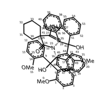 COc1ccccc1C(O)(c1ccccc1OC)[C@@H](c1ccccc1)N(C(=O)C1(C(N)=O)CCCCC1)[C@H](c1ccccc1)C(O)(c1ccccc1OC)c1ccccc1OC